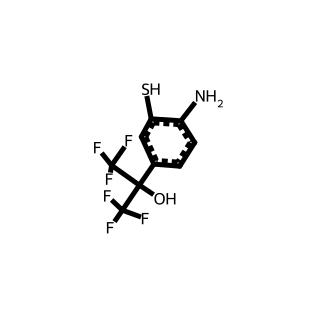 Nc1ccc(C(O)(C(F)(F)F)C(F)(F)F)cc1S